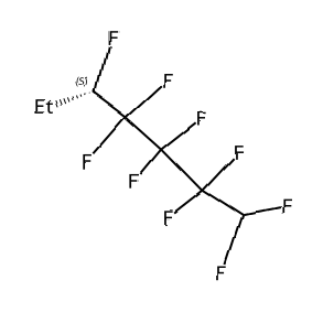 [CH2]C[C@H](F)C(F)(F)C(F)(F)C(F)(F)C(F)F